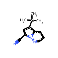 C[Si](C)(C)c1cc(C#N)n2ncccc12